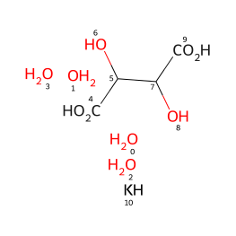 O.O.O.O.O=C(O)C(O)C(O)C(=O)O.[KH]